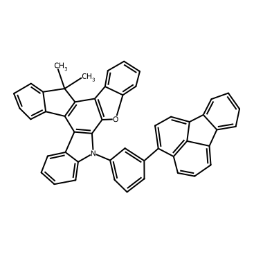 CC1(C)c2ccccc2-c2c1c1c3ccccc3oc1c1c2c2ccccc2n1-c1cccc(-c2ccc3c4c(cccc24)-c2ccccc2-3)c1